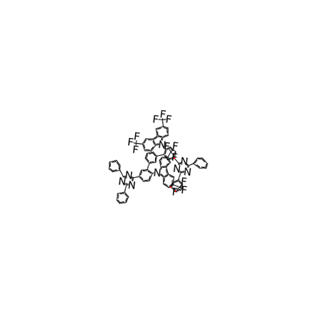 FC(F)(F)c1ccc2c(c1)c1cc(C(F)(F)F)ccc1n2-c1ccc(-c2nc(-c3ccccc3)nc(-c3ccccc3)n2)cc1-c1cccc(-c2cc(-c3nc(-c4ccccc4)nc(-c4ccccc4)n3)ccc2-n2c3ccc(C(F)(F)F)cc3c3cc(C(F)(F)F)ccc32)c1